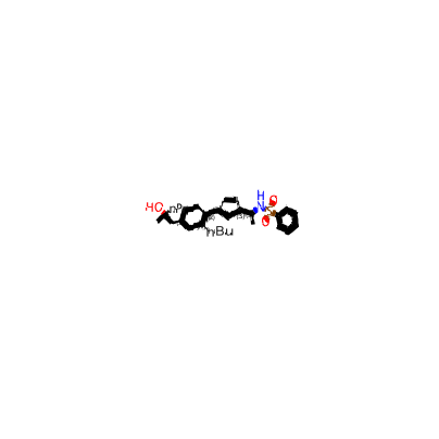 CCCC[C@@H]1C[C@@H](C[C@](C)(O)CCC)CC[C@H]1[C@@H]1CC[C@H]([C@H](C)NS(=O)(=O)c2ccccc2)C1